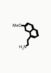 COC1=CC=C2C=CC=C(CCN)C2C1